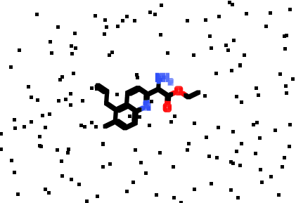 C=CCc1c(C)ccc2nc(C(N)C(=O)OCC)ccc12